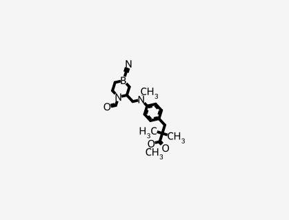 COC(=O)C(C)(C)Cc1ccc(N(C)CC2CB(C#N)CCN2C=O)cc1